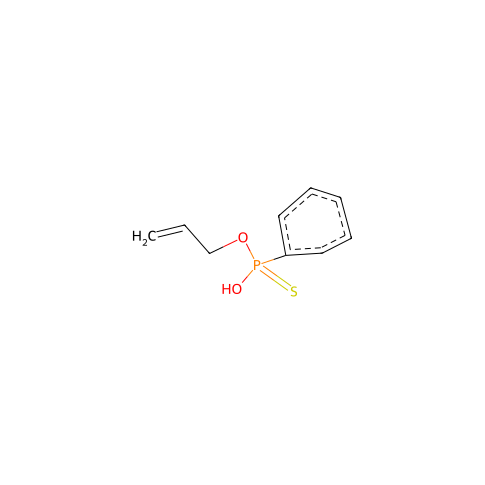 C=CCOP(O)(=S)c1ccccc1